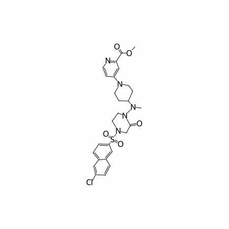 COC(=O)c1cc(N2CCC(N(C)N3CCN(S(=O)(=O)c4ccc5cc(Cl)ccc5c4)CC3=O)CC2)ccn1